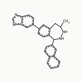 CC1Cc2cc(-c3ccc4ncnn4c3)ccc2C(c2ccc3ccccc3c2)NN1